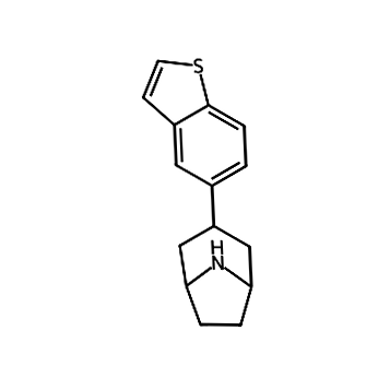 c1cc2cc(C3CC4CCC(C3)N4)ccc2s1